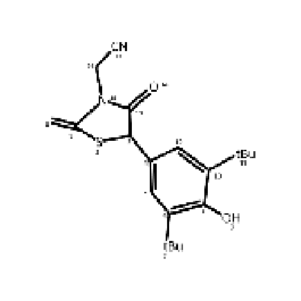 C=C1SC(c2cc(C(C)(C)C)c(O)c(C(C)(C)C)c2)C(=O)N1CC#N